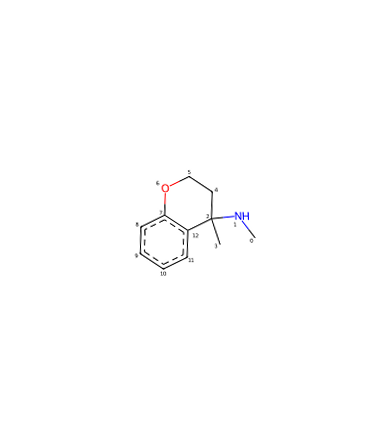 CNC1(C)CCOc2ccccc21